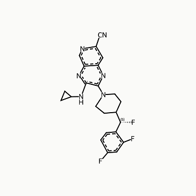 N#Cc1cc2nc(N3CCC([C@H](F)c4ccc(F)cc4F)CC3)c(NC3CC3)nc2cn1